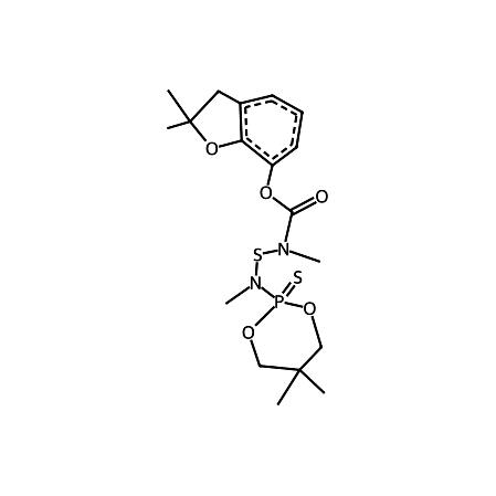 CN(SN(C)P1(=S)OCC(C)(C)CO1)C(=O)Oc1cccc2c1OC(C)(C)C2